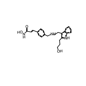 O=C(/C=C/c1ccc(CNCCc2c(CCCO)[nH]c3ccccc23)cc1)NO